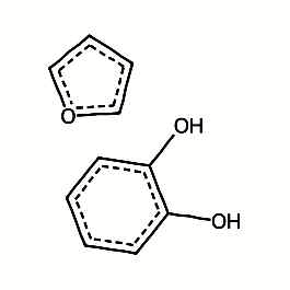 Oc1ccccc1O.c1ccoc1